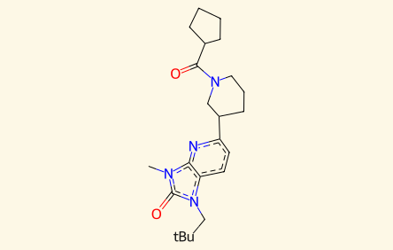 Cn1c(=O)n(CC(C)(C)C)c2ccc(C3CCCN(C(=O)C4CCCC4)C3)nc21